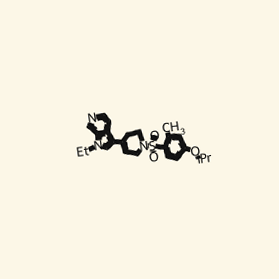 CCn1cc(C2=CCN(S(=O)(=O)c3ccc(OC(C)C)cc3C)CC2)c2ccncc21